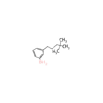 Bc1cccc(CCCC(C)(C)C)c1